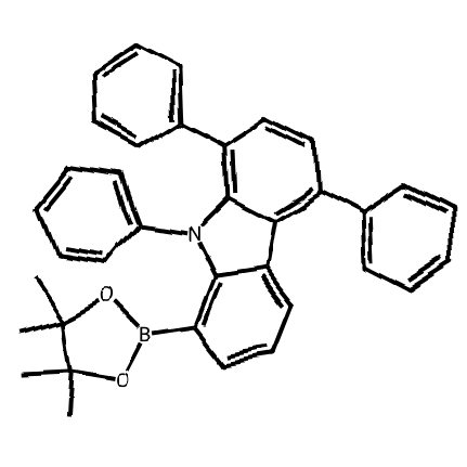 CC1(C)OB(c2cccc3c4c(-c5ccccc5)ccc(-c5ccccc5)c4n(-c4ccccc4)c23)OC1(C)C